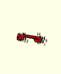 COC(=O)C[C@@H]1N=C(c2ccc(-c3ccc(OCCOCCOCCOCCOCCOCCOCCOCC(=O)NC(C(=O)N4CCC[C@H]4C(=O)N[C@@H](C)c4ccc(-c5scnc5C)cc4)C(C)(C)C)c(C#N)c3)cc2)c2c(sc(C)c2C)-n2c(C)nnc21